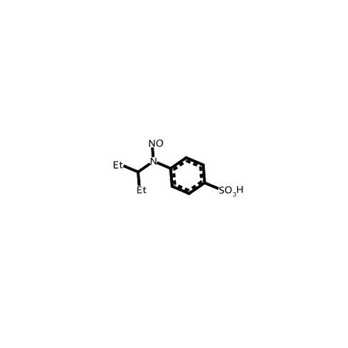 CCC(CC)N(N=O)c1ccc(S(=O)(=O)O)cc1